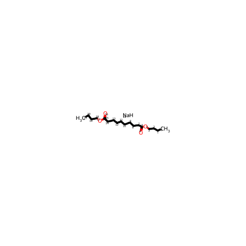 CCCCOC(=O)CCCCCCCCC(=O)OCCCC.[NaH]